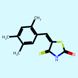 Cc1cc(C)c(C=C2SC(=O)NC2=S)cc1C